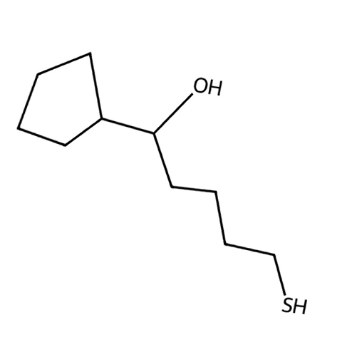 OC(CCCCS)C1CCCC1